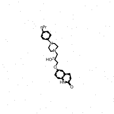 CCCc1ccc(N2CCN(C[C@@H](O)COc3ccc4[nH]c(=O)ccc4c3)CC2)cc1